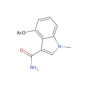 CC(=O)Oc1cccc2c1c(C(N)=O)cn2C